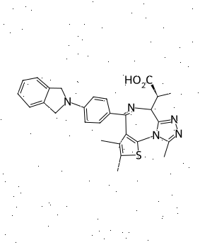 Cc1sc2c(c1C)C(c1ccc(N3Cc4ccccc4C3)cc1)=NC([C@H](C)C(=O)O)c1nnc(C)n1-2